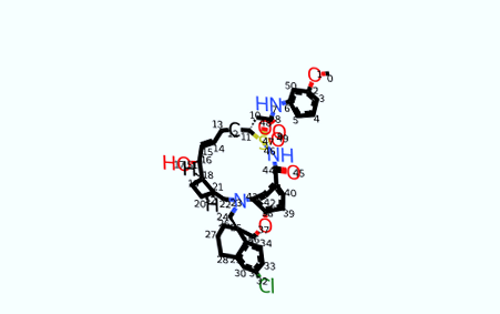 COc1cccc(NC(=O)C[C@H]2CC/C=C/[C@H](O)[C@@H]3CC[C@H]3CN3C[C@@]4(CCCc5cc(Cl)ccc54)COc4ccc(cc43)C(=O)NS2(=O)=O)c1